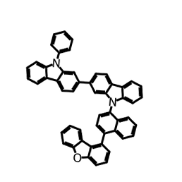 c1ccc(-n2c3ccccc3c3ccc(-c4ccc5c6ccccc6n(-c6ccc(-c7cccc8oc9ccccc9c78)c7ccccc67)c5c4)cc32)cc1